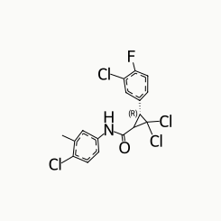 Cc1cc(NC(=O)C2[C@H](c3ccc(F)c(Cl)c3)C2(Cl)Cl)ccc1Cl